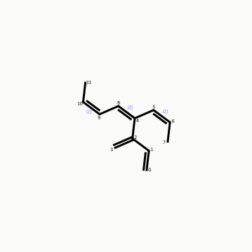 C=CC(=C)C(/C=C\C)=C\C=C/C